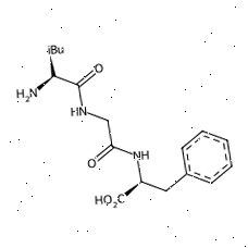 CC[C@H](C)[C@H](N)C(=O)NCC(=O)N[C@@H](Cc1ccccc1)C(=O)O